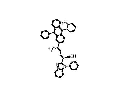 C#C/C(=C\C=C(/C)c1ccc2c(C3C=CC=CC3C)c3ccccc3c(-c3ccccc3)c2c1)c1nc2ccccc2n1-c1ccccc1